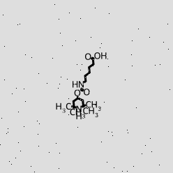 CC1(C)CC(OC(=O)NCCCCCC(=O)O)CC(C)(C)N1